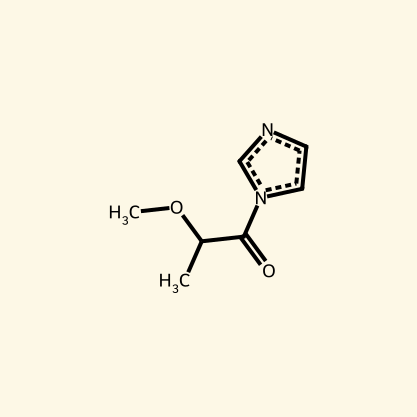 COC(C)C(=O)n1ccnc1